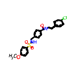 COc1ccc(S(=O)(=O)NCc2ccc(C(=O)NCCc3ccc(Cl)cc3)cc2)cc1